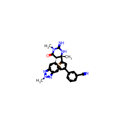 CN1C(=N)N[C@](C)(c2cc(-c3cccc(C#N)c3)cs2)[C@H](c2ccc3nn(C)nc3c2)C1=O